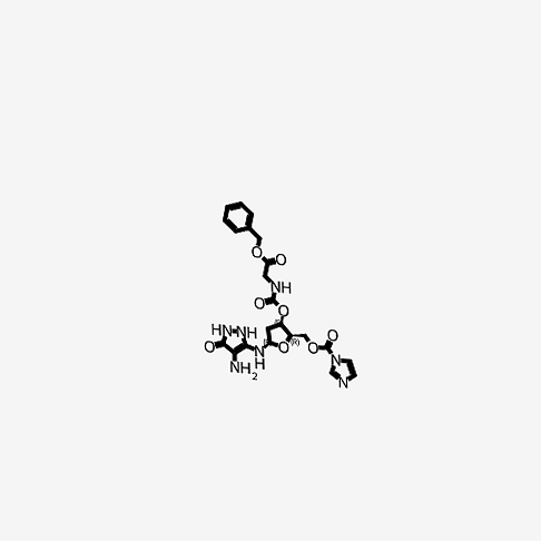 Nc1c(N[C@H]2C[C@@H](OC(=O)NCC(=O)OCc3ccccc3)[C@@H](COC(=O)n3ccnc3)O2)[nH][nH]c1=O